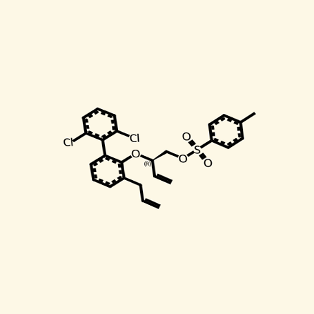 C=CCc1cccc(-c2c(Cl)cccc2Cl)c1O[C@H](C=C)COS(=O)(=O)c1ccc(C)cc1